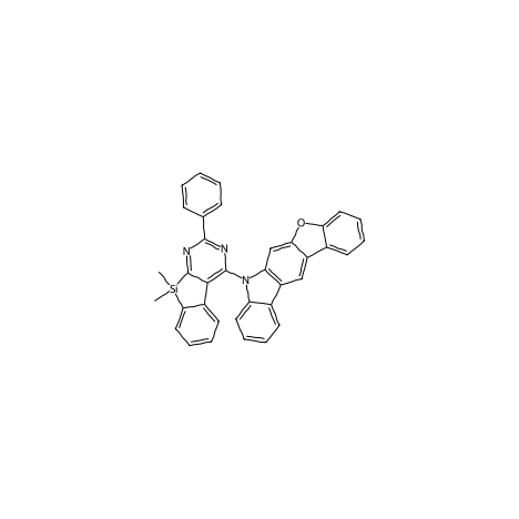 C[Si]1(C)c2ccccc2-c2c(-n3c4ccccc4c4cc5c(cc43)oc3ccccc35)nc(-c3ccccc3)nc21